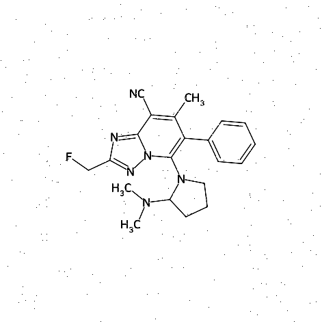 Cc1c(-c2ccccc2)c(N2CCCC2N(C)C)n2nc(CF)nc2c1C#N